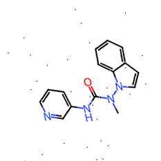 CN(C(=O)Nc1cccnc1)n1ccc2ccccc21